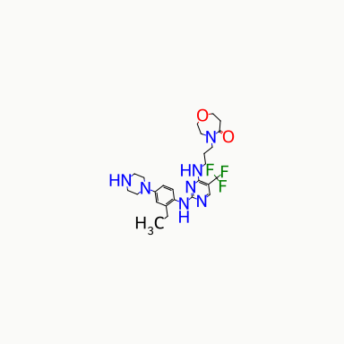 CCc1cc(N2CCNCC2)ccc1Nc1ncc(C(F)(F)F)c(NCCCN2CCOCCC2=O)n1